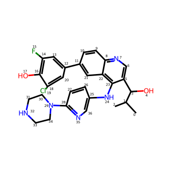 CC(C)C(O)c1cnc2ccc(-c3cc(F)c(O)c(Cl)c3)cc2c1Nc1ccc(N2CCNCC2)nc1